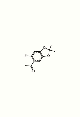 CC(=O)c1cc2c(cc1F)OC(C)(C)O2